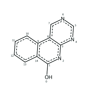 Oc1nc2ncncc2c2ccccc12